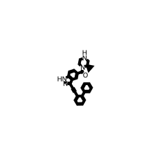 O=C(c1ccc2[nH]nc(C#Cc3ccccc3-c3ccccc3)c2c1)N1CCNCC12CC2